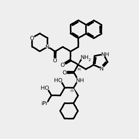 CC(C)C(O)CC(O)[C@H](CC1CCCCC1)NC(=O)[C@@](N)(Cc1c[nH]cn1)C(=O)C(CC(=O)N1CCOCC1)Cc1cccc2ccccc12